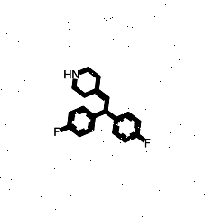 Fc1ccc(C(C=C2CCNCC2)c2ccc(F)cc2)cc1